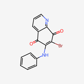 O=C1C(Nc2ccccc2)=C(Br)C(=O)c2ncccc21